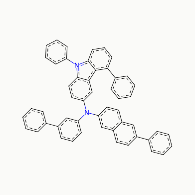 c1ccc(-c2cccc(N(c3ccc4cc(-c5ccccc5)ccc4c3)c3ccc4c(c3)c3c(-c5ccccc5)cccc3n4-c3ccccc3)c2)cc1